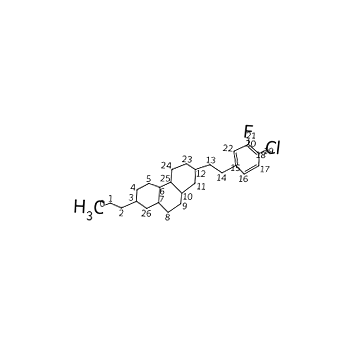 CCCC1CCC2C(CCC3CC(CCc4ccc(Cl)c(F)c4)CCC32)C1